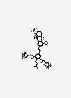 COc1cc(/C=C/c2cc(OCc3cn(C)nn3)c(CC=C(C)C)c(OCc3cn(C)nn3)c2)cc2c1O[C@]1(C)CC[C@@H](O)C(C)(C)[C@H]1C2